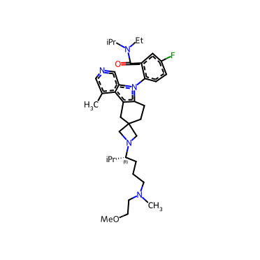 CCN(C(=O)c1cc(F)ccc1-n1c2c(c3c(C)cncc31)CC1(CC2)CN([C@H](CCCN(C)CCOC)C(C)C)C1)C(C)C